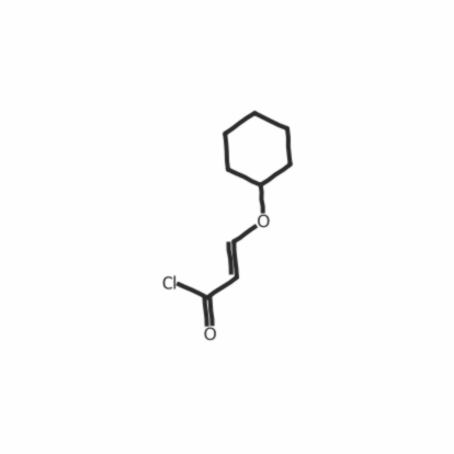 O=C(Cl)/C=C/OC1CCCCC1